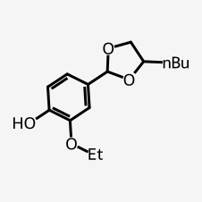 CCCCC1COC(c2ccc(O)c(OCC)c2)O1